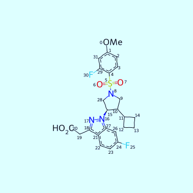 COc1ccc(S(=O)(=O)N2CC(C3CCC3)[C@@H](n3nc(CC(=O)O)c4ccc(F)cc43)C2)c(F)c1